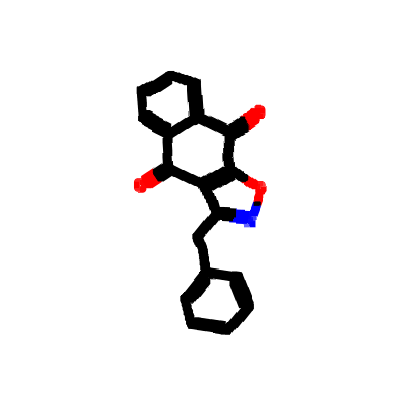 O=C1c2ccccc2C(=O)c2c(Cc3ccccc3)noc21